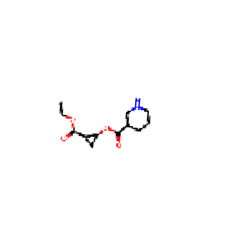 CCOC(=O)C1CC1OC(=O)C1CCCNC1